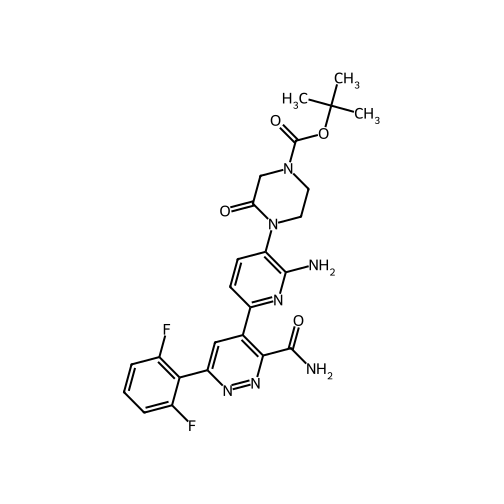 CC(C)(C)OC(=O)N1CCN(c2ccc(-c3cc(-c4c(F)cccc4F)nnc3C(N)=O)nc2N)C(=O)C1